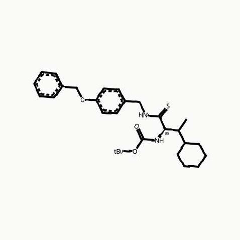 CC(C1CCCCC1)[C@@H](NC(=O)OC(C)(C)C)C(=S)NCc1ccc(OCc2ccccc2)cc1